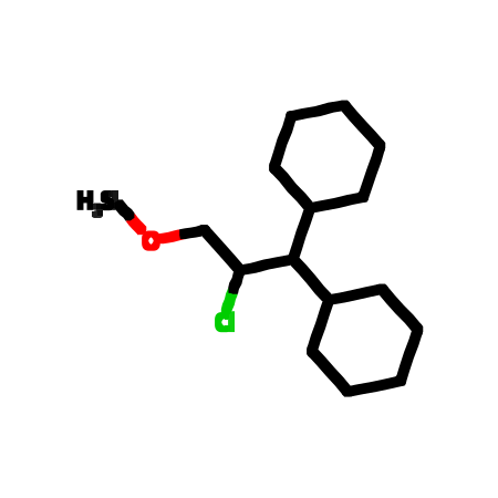 [SiH3]OCC(Cl)C(C1CCCCC1)C1CCCCC1